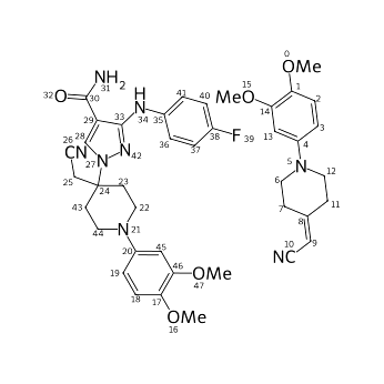 COc1ccc(N2CCC(=CC#N)CC2)cc1OC.COc1ccc(N2CCC(CC#N)(n3cc(C(N)=O)c(Nc4ccc(F)cc4)n3)CC2)cc1OC